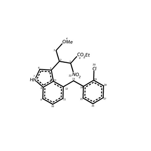 CCOC(=O)C(C(COC)c1c[nH]c2cccc(Cc3ccccc3Cl)c12)[N+](=O)[O-]